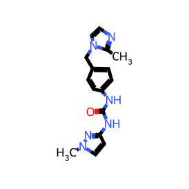 Cc1nccn1Cc1ccc(NC(=O)Nc2ccn(C)n2)cc1